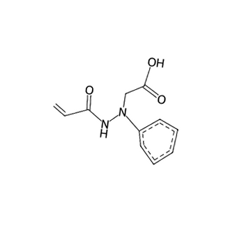 C=CC(=O)NN(CC(=O)O)c1ccccc1